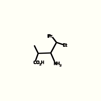 CCC(C(C)C)C(N)C(C)C(=O)O